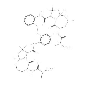 CN[C@@H](C)C(=O)N[C@H]1CCO[C@H]2CC(C)(C)C(C(=O)Nc3ccccc3SSc3ccccc3NC(=O)C3N4C(=O)[C@@H](NC(=O)[C@H](C)NC)C[C@H](C)O[C@H]4CC3(C)C)N2C1=O